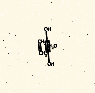 C=C.O.OC#CO